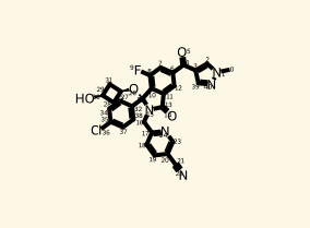 Cn1cc(C(=O)c2cc(F)c3c(c2)C(=O)N(Cc2ccc(C#N)cn2)[C@@]3(O[C@H]2C[C@@H](O)C2)c2ccc(Cl)cc2)cn1